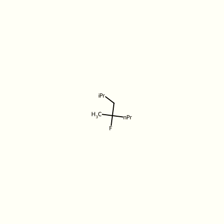 CCCC(C)(F)CC(C)C